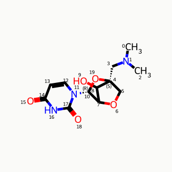 CN(C)C[C@]12COC(C1O)[C@H](n1ccc(=O)[nH]c1=O)O2